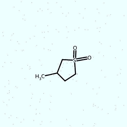 CC1C[CH]S(=O)(=O)C1